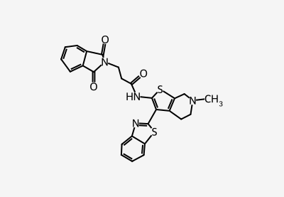 CN1CCc2c(sc(NC(=O)CCN3C(=O)c4ccccc4C3=O)c2-c2nc3ccccc3s2)C1